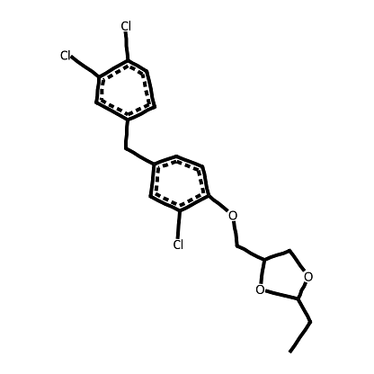 CCC1OCC(COc2ccc(Cc3ccc(Cl)c(Cl)c3)cc2Cl)O1